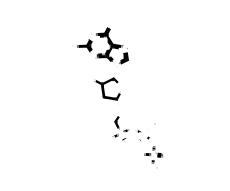 Nc1nc2c(ncn2[C@@H]2O[C@H](OCP(=O)(O)OP(=O)(O)OP(=O)(O)O)CC2O)c(=O)[nH]1